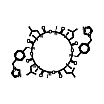 CC(C)CC1C(=O)O[C@H](Cc2ccc(Cn3ccnc3)cc2)C(=O)N(C)C(CC(C)C)C(=O)O[C@H](C)C(=O)N(C)[C@@H](CC(C)C)C(=O)O[C@H](Cc2ccc(Cn3ccnc3)cc2)C(=O)N(C)[C@@H](CC(C)C)C(=O)O[C@H](C)C(=O)N1C